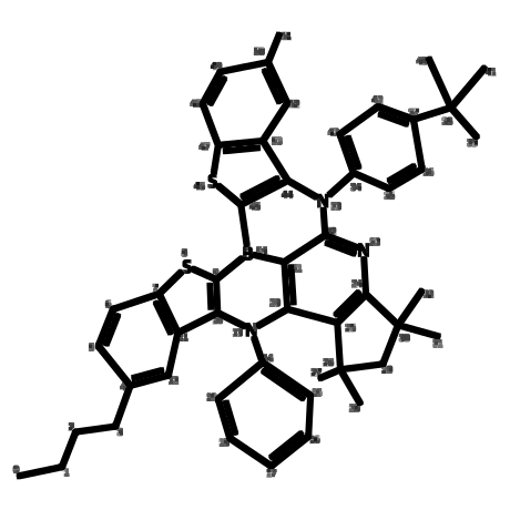 CCCCc1ccc2sc3c(c2c1)N(c1ccccc1)c1c2c(nc4c1C(C)(C)CC4(C)C)N(c1ccc(C(C)(C)C)cc1)c1c(sc4ccc(C)cc14)B32